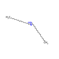 CCCCCCCCCCCCCCCCCCC1=NC(CCCCCCCCCCCCCCCCCC)CN1